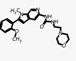 COc1ccccc1-c1cc2cc(NC(=O)NCCN3CCOCC3)ncc2n1C